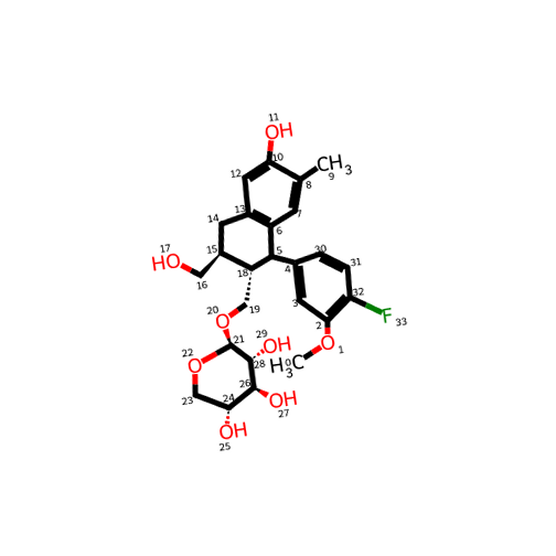 COc1cc(C2c3cc(C)c(O)cc3C[C@H](CO)[C@H]2CO[C@@H]2OC[C@@H](O)[C@H](O)[C@H]2O)ccc1F